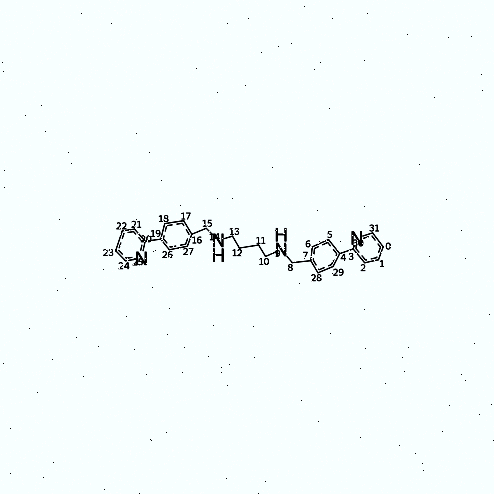 c1ccc(-c2ccc(CNCCCCNCc3ccc(-c4ccccn4)cc3)cc2)nc1